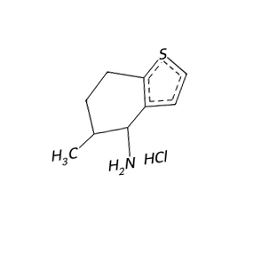 CC1CCc2sccc2C1N.Cl